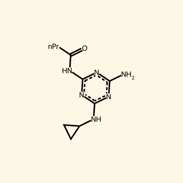 CCCC(=O)Nc1nc(N)nc(NC2CC2)n1